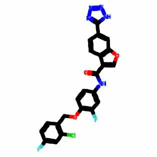 O=C(Nc1ccc(OCc2ccc(F)cc2Cl)c(F)c1)c1coc2cc(-c3nnn[nH]3)ccc12